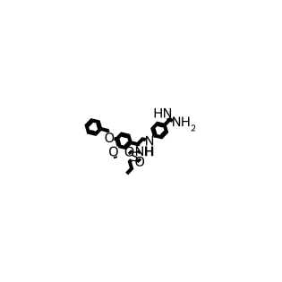 CCCS(=O)(=O)NC(CNc1ccc(C(=N)N)cc1)c1ccc(OCc2ccccc2)c(OC)c1